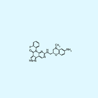 CN1C[C@H](CNc2ncc3c4n[nH]cc4c(=O)n(-c4ccccc4F)c3n2)Oc2ccc(N)cc21